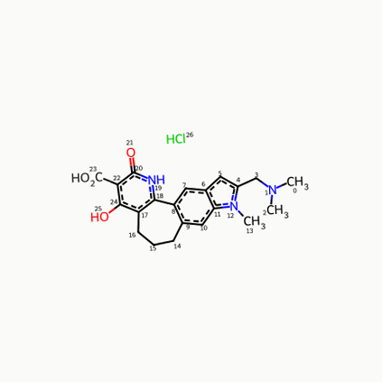 CN(C)Cc1cc2cc3c(cc2n1C)CCCc1c-3[nH]c(=O)c(C(=O)O)c1O.Cl